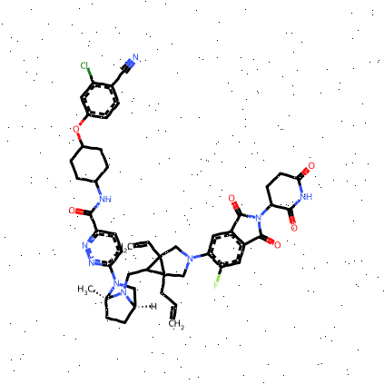 C=CCC12CN(c3cc4c(cc3F)C(=O)N(C3CCC(=O)NC3=O)C4=O)CC1(C=C)C2CN1[C@@H]2CC[C@@]1(C)N(c1ccc(C(=O)NC3CCC(Oc4ccc(C#N)c(Cl)c4)CC3)nn1)C2